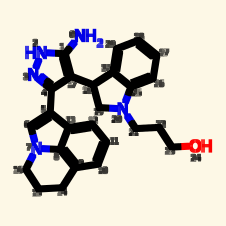 Nc1[nH]nc(-c2cn3c4c(cccc24)CCC3)c1C1CN(CCCO)c2ccccc21